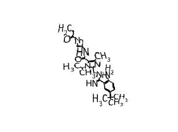 C=CC(=O)N1CC(NC(=O)c2c(C)nc(CNC(=N)c3cc(C(C)(C)C)ccc3N)n2C(C)C)C1